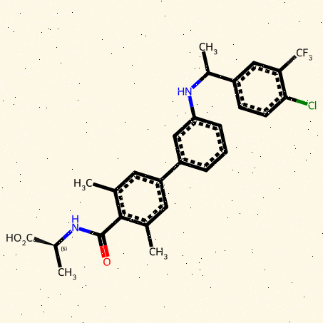 Cc1cc(-c2cccc(NC(C)c3ccc(Cl)c(C(F)(F)F)c3)c2)cc(C)c1C(=O)N[C@@H](C)C(=O)O